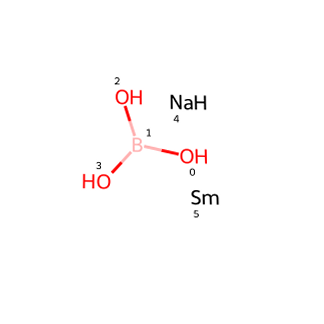 OB(O)O.[NaH].[Sm]